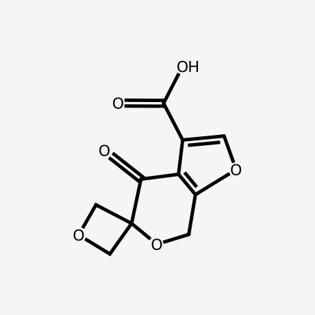 O=C(O)c1coc2c1C(=O)C1(COC1)OC2